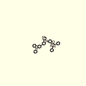 c1ccc(-c2nc(-c3ccccc3)c3oc4ccc(-n5c6ccncc6c6cc(-c7ccc8c(c7)c7ccccc7n8-c7ccccc7)ccc65)cc4c3n2)cc1